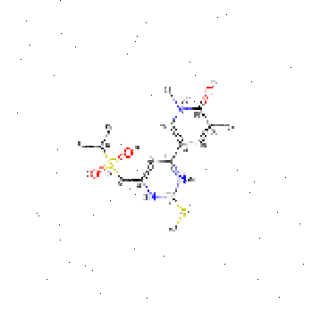 CSc1nc(CS(=O)(=O)C(C)C)cc(-c2cc(C)c(=O)n(C)c2)n1